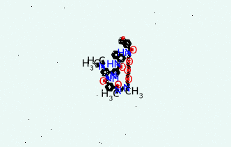 CCN(CC)c1ccc(NC(=O)c2cccc(C(=O)N(C)CCN(C)CCOCCOCCOCCNC(=O)C34CCC5CC(CC5C3)C4)c2)c(-c2cc(C(=O)N[C@H]3CCCc4ccccc43)ccn2)c1